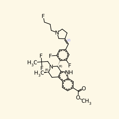 COC(=O)c1ccc2c3c([nH]c2c1)[C@@H](c1c(F)cc(/C=C2/CCN(CCCF)C2)cc1F)N(CC(C)(F)F)[C@H](C)C3